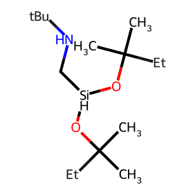 CCC(C)(C)O[SiH](CNC(C)(C)C)OC(C)(C)CC